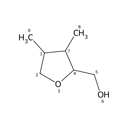 CC1COC(CO)C1C